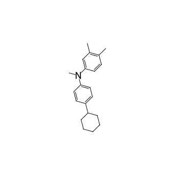 Cc1ccc(N(C)c2ccc(C3CCCCC3)cc2)cc1C